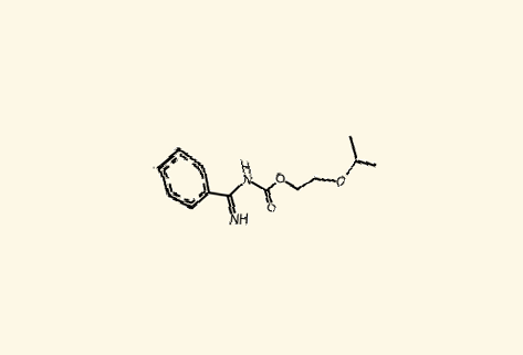 CC(C)OCCOC(=O)NC(=N)c1cc[c]cc1